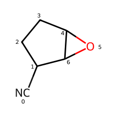 N#CC1CCC2OC12